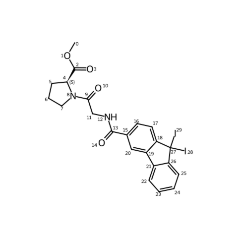 COC(=O)[C@@H]1CCCN1C(=O)CNC(=O)c1ccc2c(c1)-c1ccccc1C2(I)I